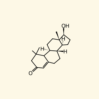 CC1(C)CC(=O)C=C2CC[C@@H]3[C@H](CC[C@]4(C)[C@@H](O)CC[C@@H]34)C21